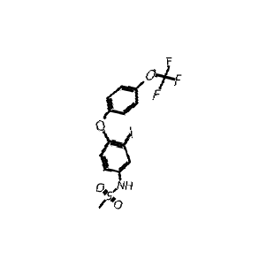 CS(=O)(=O)Nc1ccc(Oc2ccc(OC(F)(F)F)cc2)c(I)c1